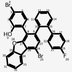 Oc1cc(Br)ccc1-c1c(-c2ccccc2-c2ccc(F)cc2)cc(Br)c2c1oc1ccccc12